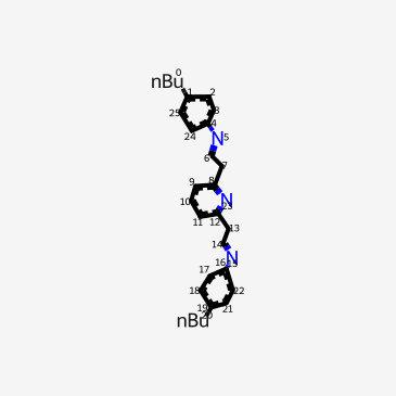 CCCCc1ccc(N=CCc2cccc(CC=Nc3ccc(CCCC)cc3)n2)cc1